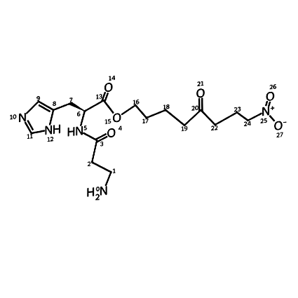 NCCC(=O)N[C@@H](Cc1cnc[nH]1)C(=O)OCCCCC(=O)CCC[N+](=O)[O-]